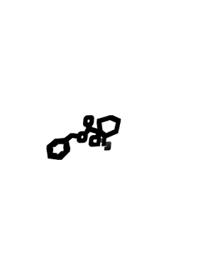 CC1(C(=O)OCc2ccccc2)CCCCC1